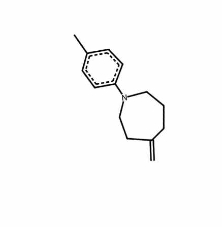 C=C1CCCN(c2ccc(C)cc2)CC1